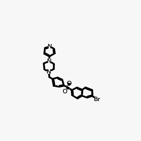 O=S(=O)(c1ccc(CN2CCN(c3ccncc3)CC2)cc1)c1ccc2cc(Br)ccc2c1